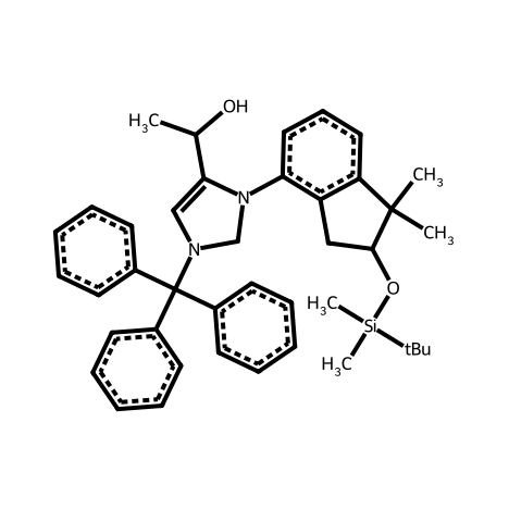 CC(O)C1=CN(C(c2ccccc2)(c2ccccc2)c2ccccc2)CN1c1cccc2c1CC(O[Si](C)(C)C(C)(C)C)C2(C)C